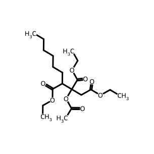 CCCCCCC(C(=O)OCC)C(CC(=O)OCC)(OC(C)=O)C(=O)OCC